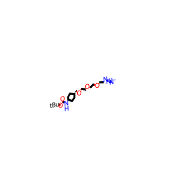 CC(C)(C)OC(=O)N[C@H]1CC[C@H](COCCOCCOCCN=[N+]=[N-])CC1